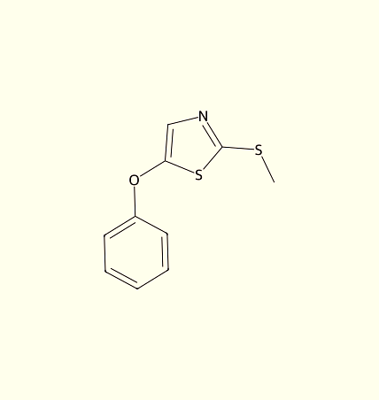 CSc1ncc(Oc2ccccc2)s1